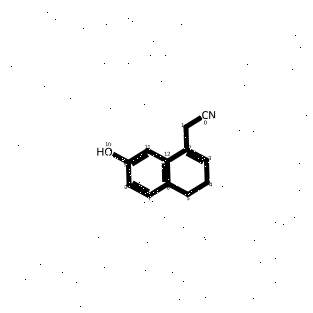 N#CCC1=CCCc2ccc(O)cc21